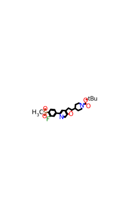 CC(C)(C)OC(=O)N1CCC(C2Cc3cc(-c4ccc(S(C)(=O)=O)c(F)c4)ncc3O2)CC1